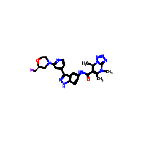 CC1=C(C(=O)Nc2ccc3[nH]nc(-c4ccnc(N5CCO[C@@H](CI)C5)c4)c3c2)[C@@H](C)n2nnnc2N1C